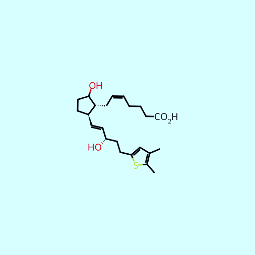 Cc1cc(CC[C@H](O)/C=C/[C@H]2CCC(O)[C@@H]2C/C=C\CCCC(=O)O)sc1C